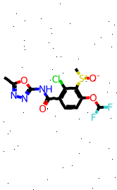 Cc1nnc(NC(=O)c2ccc(OC(F)F)c([S+](C)[O-])c2Cl)o1